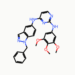 COc1cc(Nc2nccc(Nc3ccc4c(cnn4Cc4ccccc4)c3)n2)cc(OC)c1OC